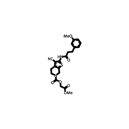 COC(=O)COC(=O)N1CCc2c(sc(NC(=O)CCc3cccc(OC)c3)c2C#N)C1